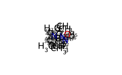 CC(C)(C)c1cc2c3c(c1)-n1c4oc5ccccc5c4n4c5ccccc5c(c14)B3c1cc(C(C)(C)C)c3cccc4c3c1N2c1ccccc1-4